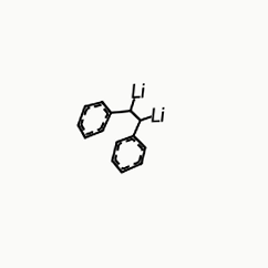 [Li][CH](c1ccccc1)[CH]([Li])c1ccccc1